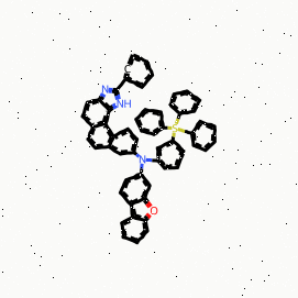 c1ccc(-c2nc3ccc4ccc5cc(N(c6cccc(S(c7ccccc7)(c7ccccc7)c7ccccc7)c6)c6ccc7c(c6)oc6ccccc67)ccc5c4c3[nH]2)cc1